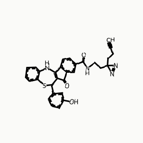 C#CCCC1(CCNC(=O)c2ccc3c(c2)C(=O)C2=C3Nc3ccccc3SC2c2cccc(O)c2)N=N1